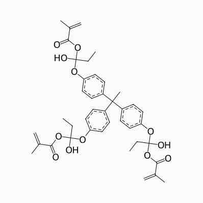 C=C(C)C(=O)OC(O)(CC)Oc1ccc(C(C)(c2ccc(OC(O)(CC)OC(=O)C(=C)C)cc2)c2ccc(OC(O)(CC)OC(=O)C(=C)C)cc2)cc1